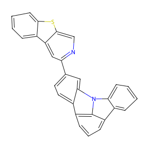 c1ccc2c(c1)sc1cnc(-c3ccc4c5cccc6c7ccccc7n(c4c3)c65)cc12